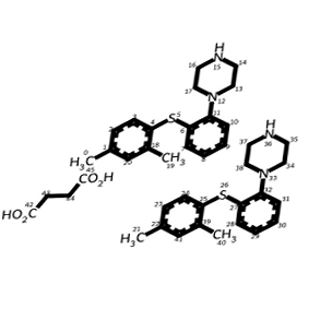 Cc1ccc(Sc2ccccc2N2CCNCC2)c(C)c1.Cc1ccc(Sc2ccccc2N2CCNCC2)c(C)c1.O=C(O)CCC(=O)O